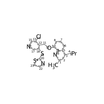 Cc1cc(C(C)C)c2cccc(OCc3c(Cl)cncc3Sc3nccs3)c2n1